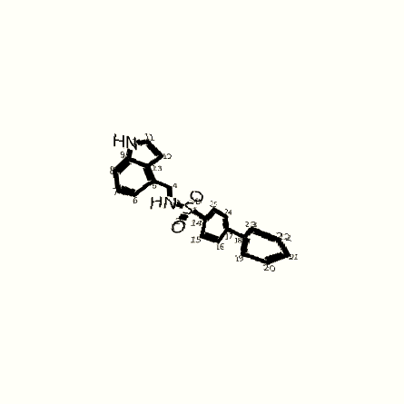 O=S(=O)(NCc1cccc2[nH]ccc12)c1ccc(-c2ccccc2)cc1